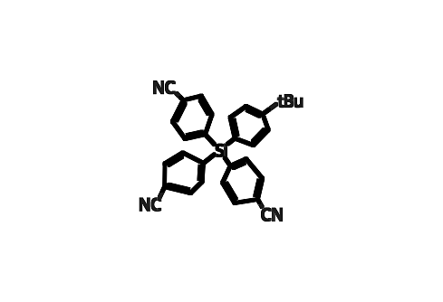 CC(C)(C)c1ccc([Si](c2ccc(C#N)cc2)(c2ccc(C#N)cc2)c2ccc(C#N)cc2)cc1